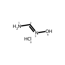 Cl.NC=NO